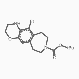 CCc1c2c(cc3c1NCCO3)CCN(C(=O)OC(C)(C)C)CC2